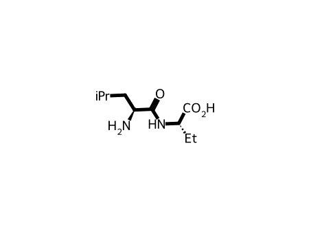 CC[C@H](NC(=O)[C@@H](N)CC(C)C)C(=O)O